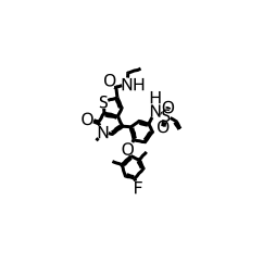 C=CS(=O)(=O)Nc1ccc(Oc2c(C)cc(F)cc2C)c(-c2cn(C)c(=O)c3sc(C(=O)NCC)cc23)c1